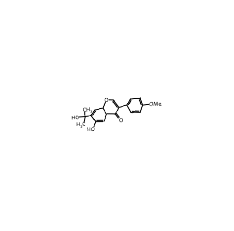 COc1ccc(C2=COC3C=C(C(C)(C)O)C(O)=CC3C2=O)cc1